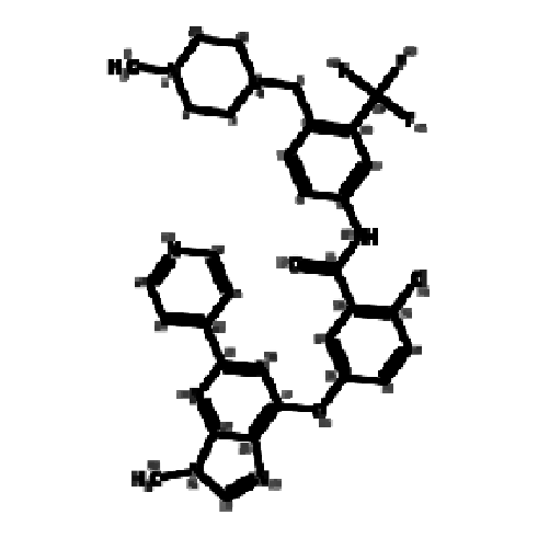 CN1CCN(Cc2ccc(NC(=O)c3cc(Oc4nc(-c5ccncc5)nc5c4ncn5C)ccc3Cl)cc2C(F)(F)F)CC1